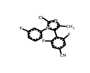 Cc1nc(Cl)n(-c2cccc(F)c2)c1-c1c(F)cc(C#N)cc1F